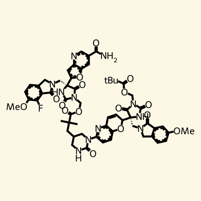 COc1ccc2c(c1)C(=O)N(C[C@@]1(C3C=Cc4nc(N5CC(CC(C)(C)C(=O)OCN6C(=O)N[C@@](CN7Cc8ccc(OC)c(F)c8C7=O)(c7cc8ncc(C(N)=O)cc8o7)C6=O)CNC5=O)ccc4O3)NC(=O)N(COC(=O)C(C)(C)C)C1=O)C2